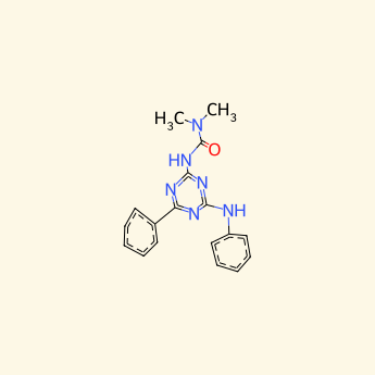 CN(C)C(=O)Nc1nc(Nc2ccccc2)nc(-c2ccccc2)n1